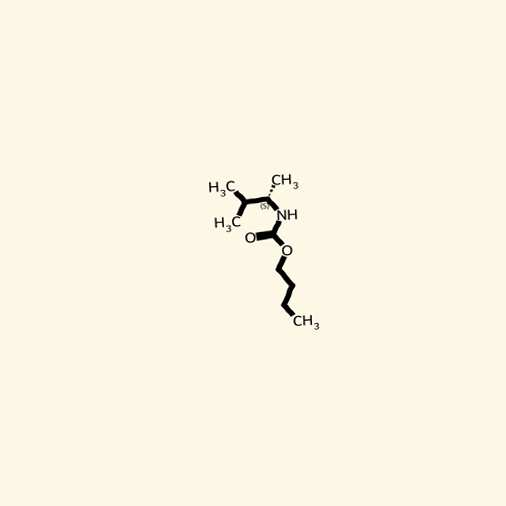 CCCCOC(=O)N[C@@H](C)C(C)C